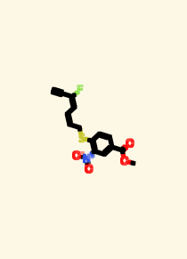 C#C/C(F)=C\C=C/CSc1ccc(C(=O)OC)cc1[N+](=O)[O-]